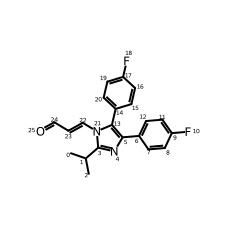 CC(C)c1nc(-c2ccc(F)cc2)c(-c2ccc(F)cc2)n1/C=C/C=O